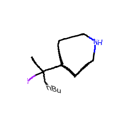 CCCCC(C)(I)C1CCNCC1